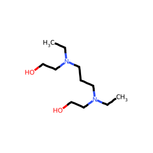 CCN(CCO)CCCN(CC)CCO